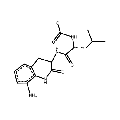 CC(C)C[C@@H](NC(=O)O)C(=O)NC1Cc2cccc(N)c2NC1=O